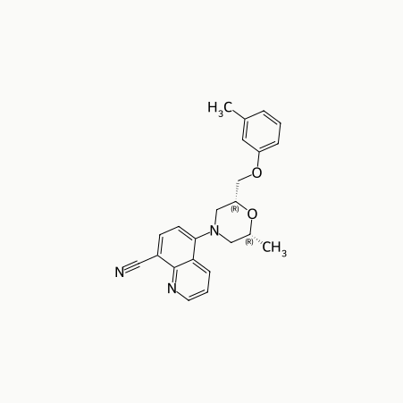 Cc1cccc(OC[C@H]2CN(c3ccc(C#N)c4ncccc34)C[C@@H](C)O2)c1